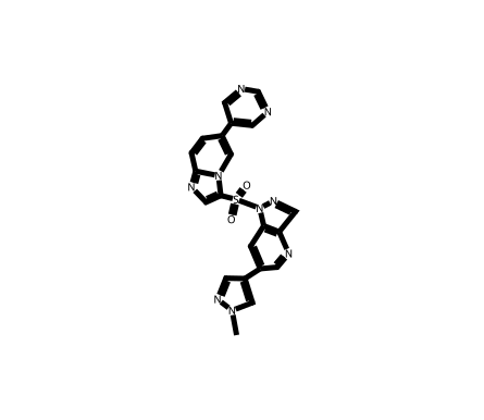 Cn1cc(-c2cnc3cnn(S(=O)(=O)c4cnc5ccc(-c6cncnc6)cn45)c3c2)cn1